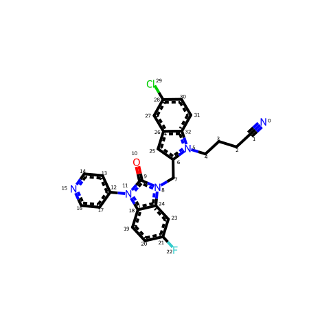 N#CCCCn1c(Cn2c(=O)n(-c3ccncc3)c3ccc(F)cc32)cc2cc(Cl)ccc21